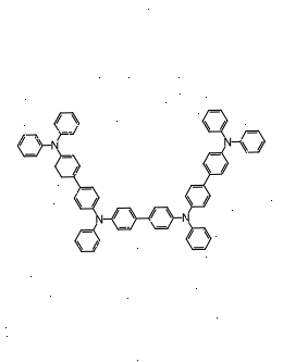 C1=C(c2ccc(N(c3ccccc3)c3ccc(-c4ccc(N(c5ccccc5)c5ccc(-c6ccc(N(c7ccccc7)c7ccccc7)cc6)cc5)cc4)cc3)cc2)CCC(N(c2ccccc2)c2ccccc2)=C1